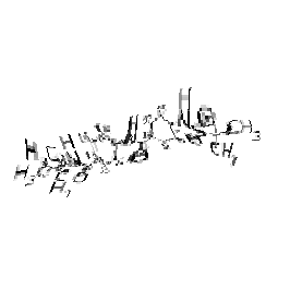 CC(C)S(=O)(=O)NC1CCC(C(=O)Nc2ccc(C(=O)NC(C)(C)C)cc2)CC1